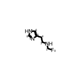 FCNCCc1c[nH]cn1